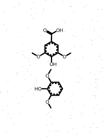 COc1cc(C(=O)O)cc(OC)c1O.COc1cccc(OC)c1O